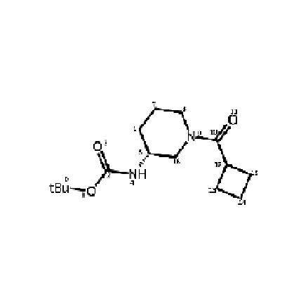 CC(C)(C)OC(=O)N[C@@H]1CCCN(C(=O)C2CCC2)C1